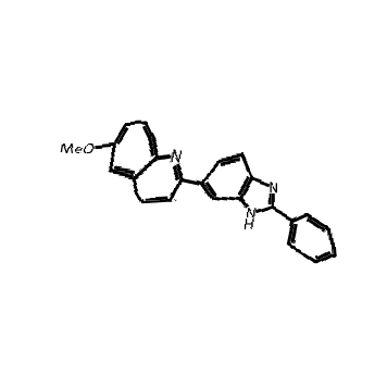 COc1ccc2nc(-c3ccc4nc(-c5ccccc5)[nH]c4c3)[c]cc2c1